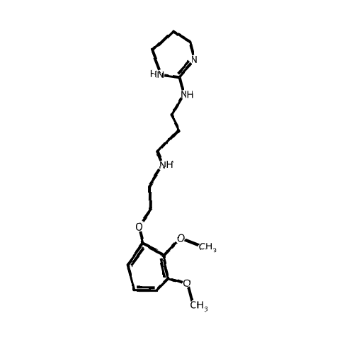 COc1cccc(OCCNCCCNC2=NCCCN2)c1OC